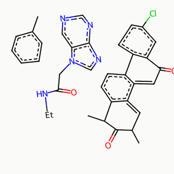 CC1C=c2c(ccc3c2=CC(=O)c2cc(Cl)ccc2-3)C(C)C1=O.CCNC(=O)Cn1cnc2ncncc21.Cc1ccccc1